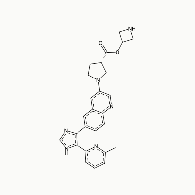 Cc1cccc(-c2[nH]cnc2-c2ccc3ncc(N4CC[C@H](C(=O)OC5CNC5)C4)cc3c2)n1